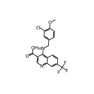 COc1ccc(CNc2c(C(=O)O)cnc3cc(C(F)(F)F)ccc23)cc1Cl